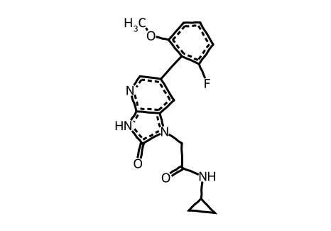 COc1cccc(F)c1-c1cnc2[nH]c(=O)n(CC(=O)NC3CC3)c2c1